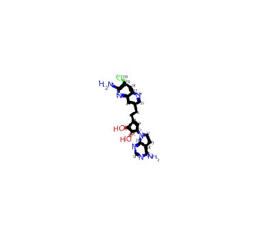 Nc1nc2cc(CCC3=CC(n4ccc5c(N)ncnc54)[C@@H](O)C3O)cnc2cc1Cl